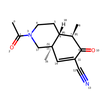 CC(=O)N1CC[C@@H]2[C@@H](C)C(=O)C(C#N)=C[C@@]2(C)C1